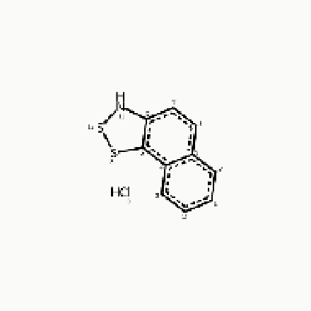 Cl.c1ccc2c3c(ccc2c1)NSS3